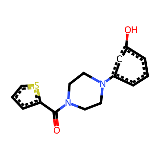 O=C(c1cccs1)N1CCN(c2cccc(O)c2)CC1